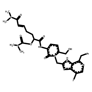 CC(C)Cc1ncc(F)c2nc(Cn3c(CO)ccc(NC(=O)C(CCC=CC(=O)N(C)C)OC(=O)N(C)C)c3=O)[nH]c12